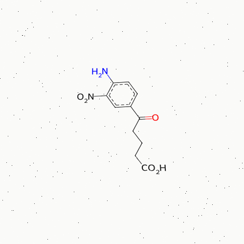 Nc1ccc(C(=O)CCCC(=O)O)cc1[N+](=O)[O-]